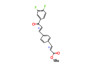 CC(C)(C)OC(=O)/C=C/c1ccc(/C=C/C(=O)c2ccc(F)c(F)c2)cc1